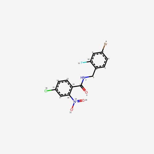 O=C(NCc1ccc(Br)cc1F)c1ccc(Cl)cc1[N+](=O)[O-]